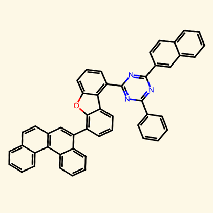 c1ccc(-c2nc(-c3ccc4ccccc4c3)nc(-c3cccc4oc5c(-c6cc7ccc8ccccc8c7c7ccccc67)cccc5c34)n2)cc1